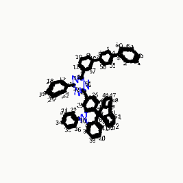 c1ccc(-c2ccc(-c3cccc(-c4nc(-c5ccccc5)nc(-c5ccc6c(c5)N(c5ccccc5)c5ccccc5C65c6ccccc6-c6ccccc65)n4)c3)cc2)cc1